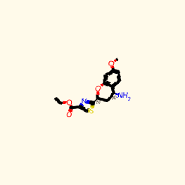 CCOC(=O)c1csc([C@@H]2C[C@H](N)c3ccc(OC)cc3O2)n1